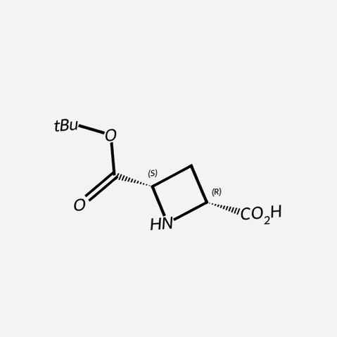 CC(C)(C)OC(=O)[C@@H]1C[C@H](C(=O)O)N1